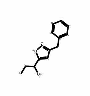 CCC(O)c1cc(Cc2ccccc2)no1